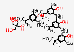 C=C(C(=O)O)c1cc(C(C)(C)C)c(O)c(C(C)(C)C)c1.C=C(C(=O)O)c1cc(C(C)(C)C)c(O)c(C(C)(C)C)c1.C=C(C(=O)O)c1cc(C(C)(C)C)c(O)c(C(C)(C)C)c1.C=C(C(=O)O)c1cc(C(C)(C)C)c(O)c(C(C)(C)C)c1.OCC(CO)(CO)CO